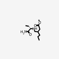 CCCC(CN[C@@H](CC)C(N)=O)CC(=O)OC